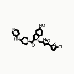 O=Nc1ccc2c(c1)cc(C(=O)N1CCC(Nc3ccncc3)CC1)n2Cc1cc(-c2ccc(Cl)s2)on1